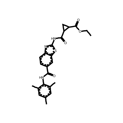 CCOC(=O)C1CC1C(=O)Nc1nc2ccc(C(=O)Nc3c(C)cc(C)cc3C)cc2s1